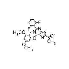 COc1ccc(Cn2c(-c3c(F)cccc3F)nc3sc([S+](C)[O-])nc3c2=O)c(OC)c1